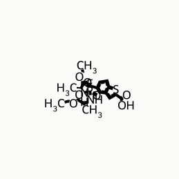 CCOC(=O)[C@H](C)NP(=O)(N[C@@H](C)C(=O)OCC)C(F)(F)c1ccc2sc(C(=O)O)cc2c1